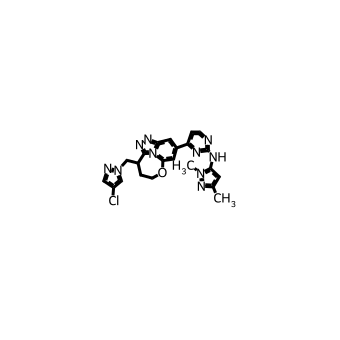 Cc1cc(Nc2nccc(-c3cc4n5c(nnc5c3)C(Cn3cc(Cl)cn3)CCO4)n2)n(C)n1